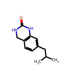 CC(C)Cc1ccc2c(c1)NC(=O)NC2